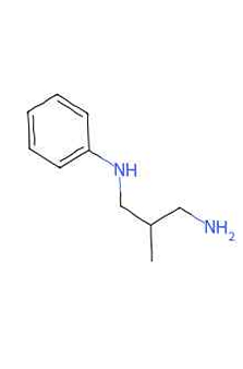 CC(CN)CNc1ccccc1